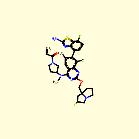 C=CC(=O)N1CCC(N(C)c2nc(OCC34CCCN3CC(F)C4)nc3c(Cl)c(-c4ccc(F)c5sc(N)nc45)c(C(F)(F)F)cc23)C1